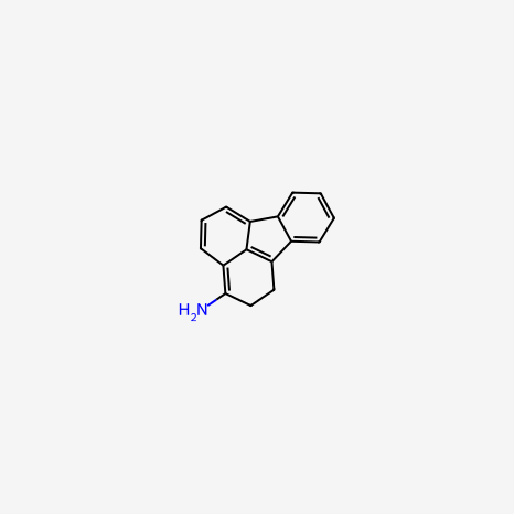 NC1=c2cccc3c2=C(CC1)c1ccccc1-3